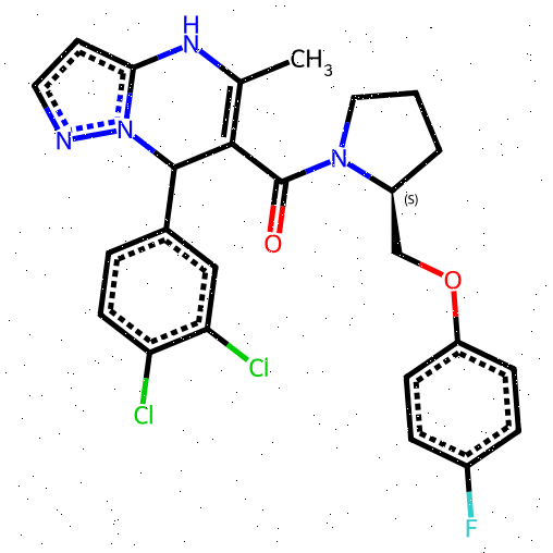 CC1=C(C(=O)N2CCC[C@H]2COc2ccc(F)cc2)C(c2ccc(Cl)c(Cl)c2)n2nccc2N1